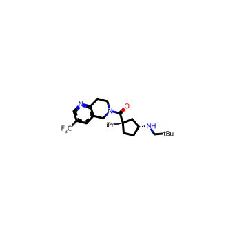 CC(C)[C@]1(C(=O)N2CCc3ncc(C(F)(F)F)cc3C2)CC[C@@H](NCC(C)(C)C)C1